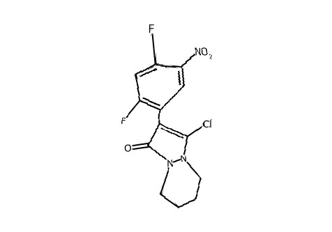 O=c1c(-c2cc([N+](=O)[O-])c(F)cc2F)c(Cl)n2n1CCCC2